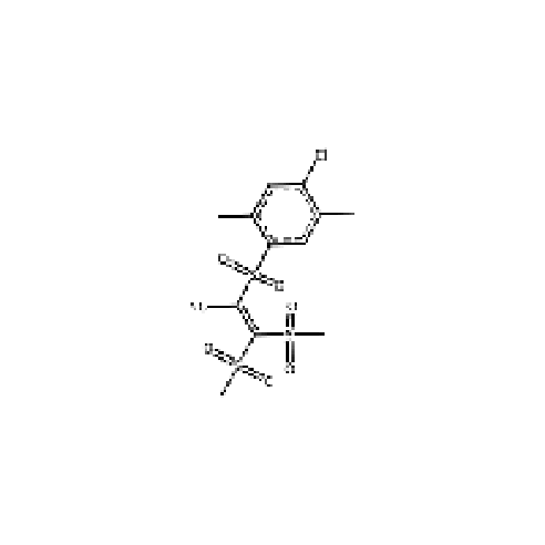 Cc1cc(S(=O)(=O)C(C#N)=C(S(C)(=O)=O)S(C)(=O)=O)c(C)cc1Cl